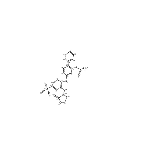 O=C(O)Cc1cc(Oc2ccc(C(F)(F)F)cc2CN2CCOC2=O)ccc1-c1ccccc1